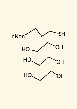 CCCCCCCCCCCCS.OCCO.OCCO.OCCO